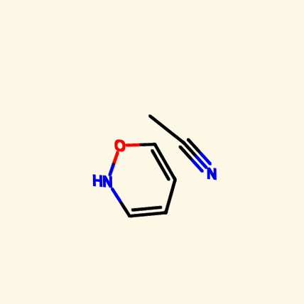 C1=CNOC=C1.CC#N